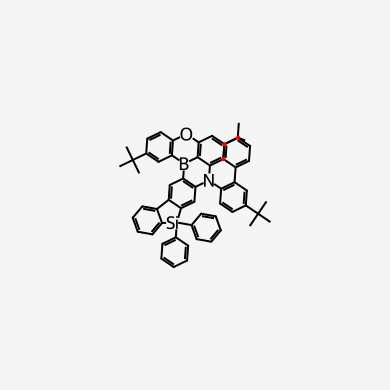 CC(C)c1cc2c3c(c1)N(c1ccc(C(C)(C)C)cc1-c1ccccc1)c1cc4c(cc1B3c1cc(C(C)(C)C)ccc1O2)-c1ccccc1[Si]4(c1ccccc1)c1ccccc1